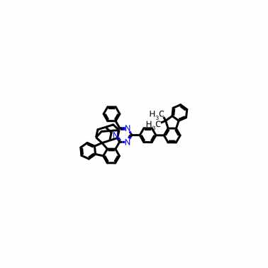 CC1(C)c2ccccc2-c2cccc(-c3ccc(-c4nc(-c5ccccc5)nc(-c5cccc6c5C5(c7ccccc7-6)C6CC7CC(C6)CC5C7)n4)cc3)c21